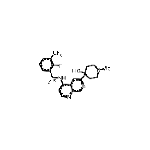 CC(=O)N1CCC(O)(c2cc3c(N[C@H](C)c4cccc(C(F)(F)F)c4F)ccnc3cn2)CC1